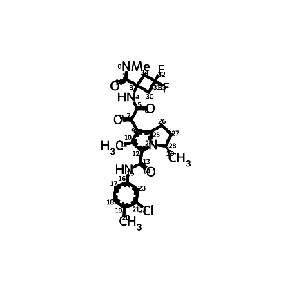 CNC(=O)C1(NC(=O)C(=O)c2c(C)c(C(=O)Nc3ccc(C)c(Cl)c3)n3c2CC[C@H]3C)CC(F)(F)C1